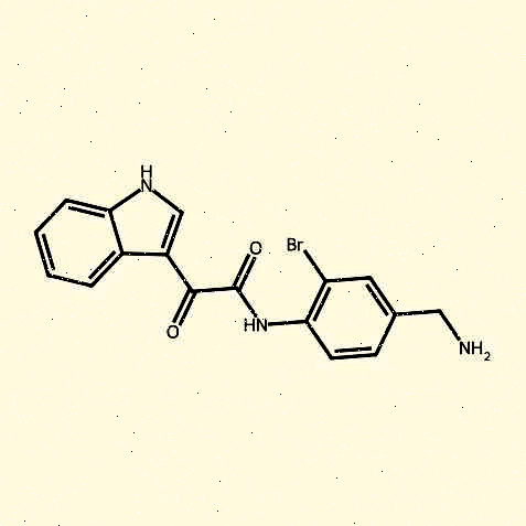 NCc1ccc(NC(=O)C(=O)c2c[nH]c3ccccc23)c(Br)c1